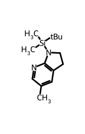 Cc1cnc2c(c1)CCN2[Si](C)(C)C(C)(C)C